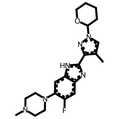 Cc1cn(C2CCCCO2)nc1-c1nc2cc(F)c(N3CCN(C)CC3)cc2[nH]1